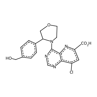 O=C(O)c1cc(Cl)c2ncnc(N3CCOCC3c3ccc(CO)cc3)c2n1